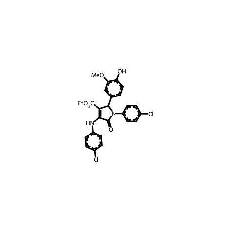 CCOC(=O)C1=C(Nc2ccc(Cl)cc2)C(=O)N(c2ccc(Cl)cc2)C1c1ccc(O)c(OC)c1